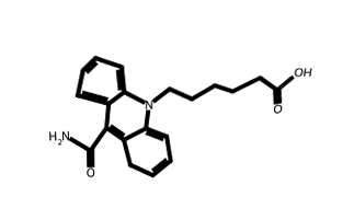 NC(=O)C1=C2CC=CC=C2N(CCCCCC(=O)O)c2ccccc21